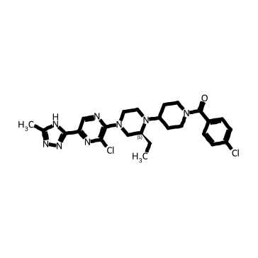 CC[C@H]1CN(c2ncc(-c3nnc(C)[nH]3)nc2Cl)CCN1C1CCN(C(=O)c2ccc(Cl)cc2)CC1